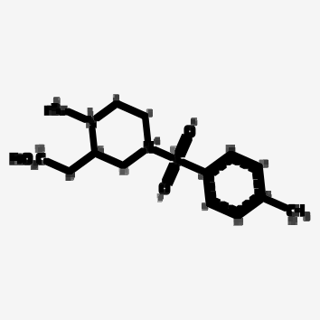 CCCCN1CCN(S(=O)(=O)c2ccc(C)cc2)CC1CC(=O)OCC